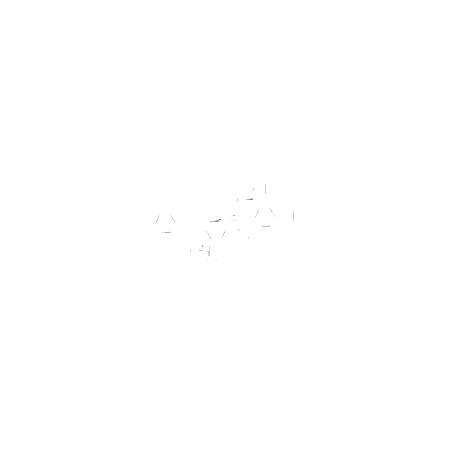 O=C([AsH]c1ccc(Cl)cc1C(=O)O)c1ccc(SCc2ccccc2)c([N+](=O)[O-])c1